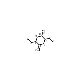 CCC1CC(Cl)C(CC)CC1Cl